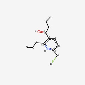 CCCC(=O)c1ccc(CF)nc1CCC